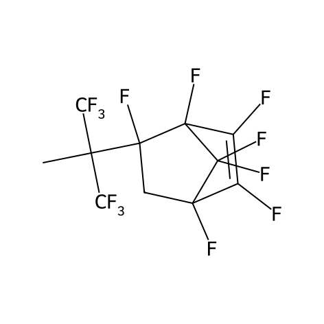 CC(C(F)(F)F)(C(F)(F)F)C1(F)CC2(F)C(F)=C(F)C1(F)C2(F)F